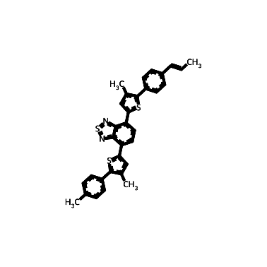 CC=Cc1ccc(-c2sc(-c3ccc(-c4cc(C)c(-c5ccc(C)cc5)s4)c4nsnc34)cc2C)cc1